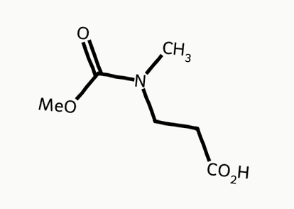 COC(=O)N(C)CCC(=O)O